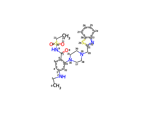 CCNc1ccc(C(=O)NS(=O)(=O)CC)c(N2CCN(Cc3nc4ccccc4s3)CC2)c1